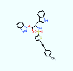 Cc1ccc(C#Cc2ccc(S(=O)(=O)N[C@H](Cc3c[nH]c4ccccc34)C(=O)On3nnc4ccccc43)s2)cc1